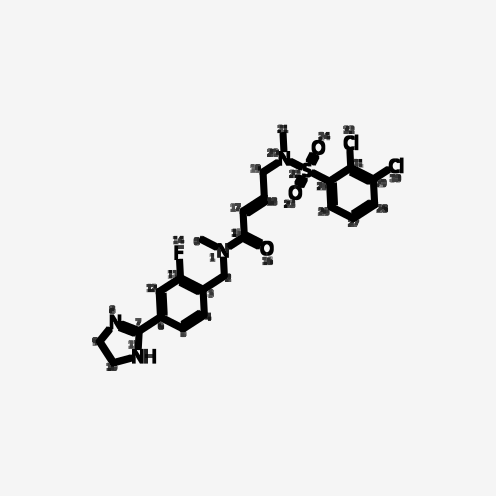 CN(Cc1ccc(C2=NCCN2)cc1F)C(=O)/C=C/CN(C)S(=O)(=O)c1cccc(Cl)c1Cl